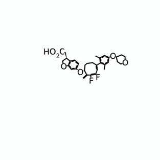 C=C1/C(F)=C(F)\C=C(\c2c(C)cc(OC3CCOCC3)cc2C)CCC[C@H]1Oc1ccc2c(c1)OC[C@H]2CC(=O)O